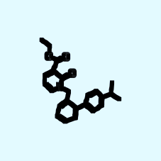 CCOC(=O)c1cccn(Cc2ccccc2-c2ccc(C(C)C)cc2)c1=O